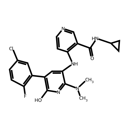 CN(C)c1nc(O)c(-c2cc(Cl)ccc2F)cc1Nc1ccncc1C(=O)NC1CC1